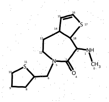 CNC1C(=O)N(CC2CCCS2)CCC2C=CSC21